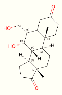 C[C@]12CCC(=O)CC1[C@@H](CO)[C@@H](O)[C@@H]1[C@@H]2CC[C@]2(C)C(=O)CC[C@@H]12